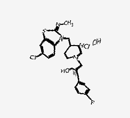 CN=c1sc2cc(Cl)ccc2n1CC1CCN(C[C@H](O)c2ccc(F)cc2)CC1.Cl.Cl